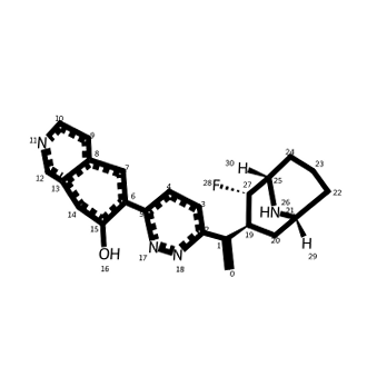 C=C(c1ccc(-c2cc3ccncc3cc2O)nn1)[C@@H]1C[C@H]2CCC[C@H](N2)[C@H]1F